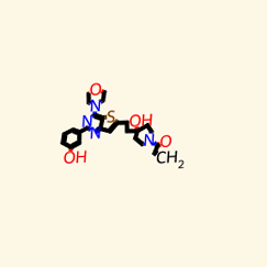 C=CC(=O)N1CCC(O)(CCc2cc3nc(-c4cccc(O)c4)nc(N4CCOCC4)c3s2)CC1